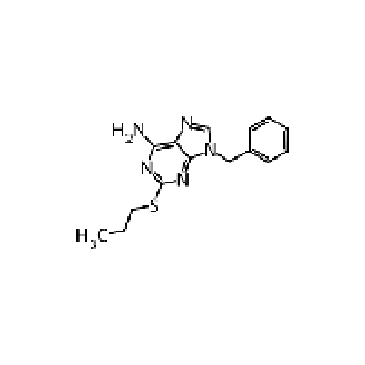 CCCSc1nc(N)c2ncn(Cc3ccccc3)c2n1